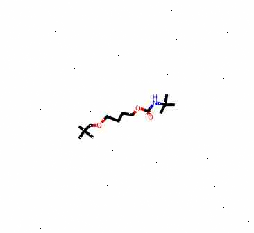 CC(C)(C)COCCCCOC(=O)NC(C)(C)C